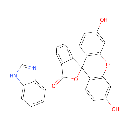 O=C1OC2(c3ccc(O)cc3Oc3cc(O)ccc32)c2ccccc21.c1ccc2[nH]cnc2c1